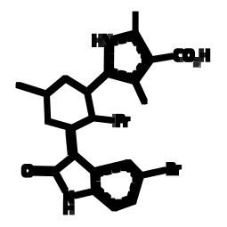 Cc1[nH]c(C2CC(C)CC(=C3C(=O)Nc4ccc(Br)cc43)C2C(C)C)c(C)c1C(=O)O